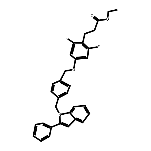 CCOC(=O)CCc1c(F)cc(OCc2ccc(Cn3c(-c4ccccc4)cc4ccccc43)cc2)cc1F